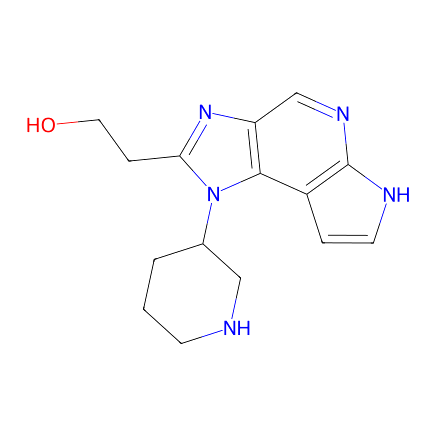 OCCc1nc2cnc3[nH]ccc3c2n1C1CCCNC1